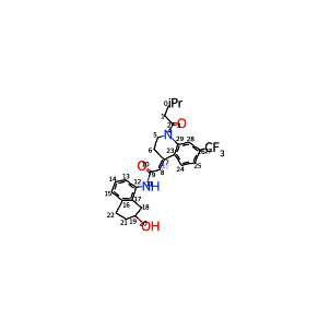 CC(C)CC(=O)N1CC/C(=C\C(=O)Nc2cccc3c2CC(O)CC3)c2ccc(C(F)(F)F)cc21